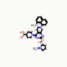 Cc1cccc2cccc(N3CCc4c(nc(OC[C@@H]5CCCN5C)nc4N4CCC(B(O)O)CC4)C3)c12